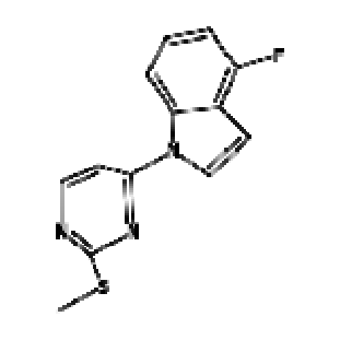 CSc1nccc(-n2ccc3c(F)cccc32)n1